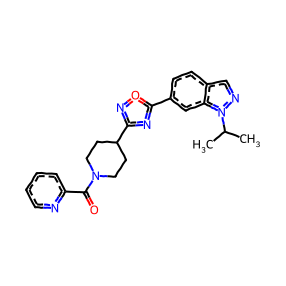 CC(C)n1ncc2ccc(-c3nc(C4CCN(C(=O)c5ccccn5)CC4)no3)cc21